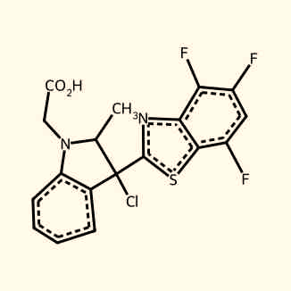 CC1N(CC(=O)O)c2ccccc2C1(Cl)c1nc2c(F)c(F)cc(F)c2s1